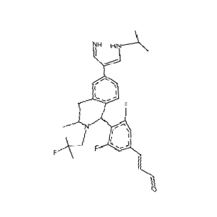 CC(C)N/C=C(\C=N)c1ccc2c(c1)CC(C)N(CC(C)(C)F)C2c1c(F)cc(/C=C/C=O)cc1F